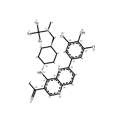 [2H]C([2H])([2H])N(C)C[C@H]1CC[C@H](Nc2c(C(C)=O)cnc3ccc(-c4cc(Cl)c(O)c(Cl)c4)nc23)CC1